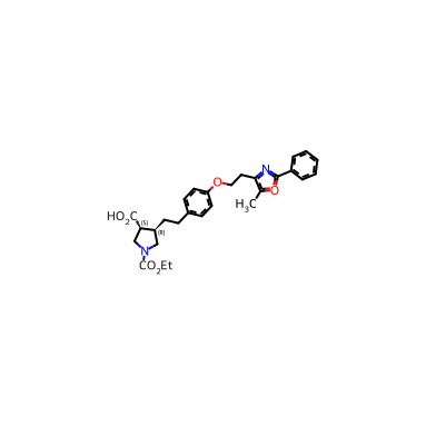 CCOC(=O)N1C[C@H](CCc2ccc(OCCc3nc(-c4ccccc4)oc3C)cc2)[C@H](C(=O)O)C1